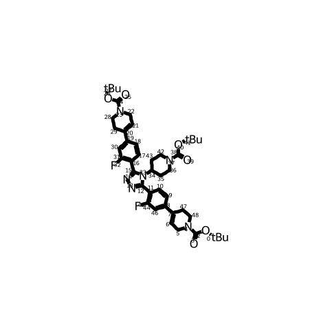 CC(C)(C)OC(=O)N1CC=C(c2ccc(-c3nnc(-c4ccc(C5=CCN(C(=O)OC(C)(C)C)CC5)cc4F)n3C3CCN(C(=O)OC(C)(C)C)CC3)c(F)c2)CC1